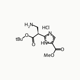 COC(=O)c1cnc([C@H](CN)C(=O)OC(C)(C)C)[nH]1.Cl